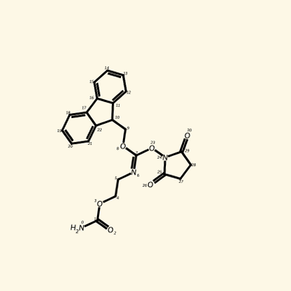 NC(=O)OCCN=C(OCC1c2ccccc2-c2ccccc21)ON1C(=O)CCC1=O